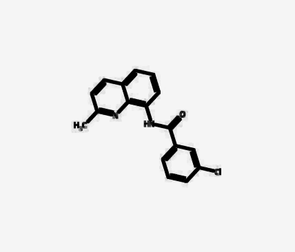 Cc1ccc2cccc(NC(=O)c3cccc(Cl)c3)c2n1